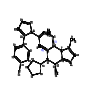 C=C(/N=C1\C(=C/N)n2c(C)nnc2[C@@H](CC)N1C1CCCC1)n1ccnc1-c1ccc(F)cn1